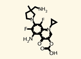 CC1(CN)CCN(c2c(F)c(N)c3c(=O)c(OC(=O)O)cn(C4CC4)c3c2F)C1